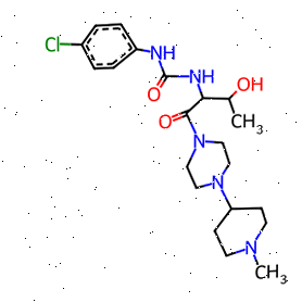 CC(O)C(NC(=O)Nc1ccc(Cl)cc1)C(=O)N1CCN(C2CCN(C)CC2)CC1